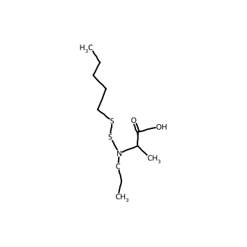 CCCCCSSN(CCC)C(C)C(=O)O